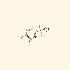 Cc1ccc(C(C)(C)O)nc1C